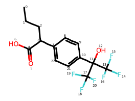 CCCC(C(=O)O)c1ccc(C(O)(C(F)(F)F)C(F)(F)F)cc1